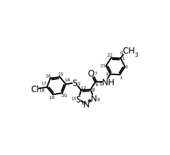 Cc1ccc(NC(=O)c2nnsc2Sc2ccc(Cl)cc2)cc1